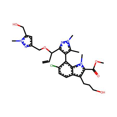 C=CC(OCc1cc(CO)n(C)n1)c1nn(C)c(C)c1-c1c(Cl)ccc2c(CCCO)c(C(=O)OC)n(C)c12